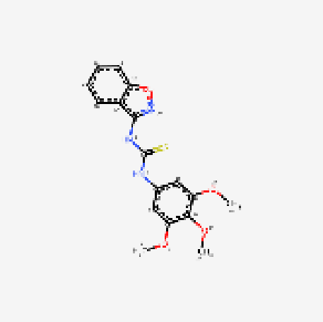 COc1cc(NC(=S)Nc2noc3ccccc23)cc(OC)c1OC